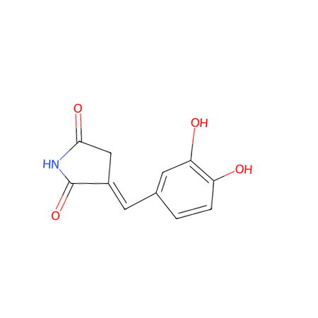 O=C1C/C(=C\c2ccc(O)c(O)c2)C(=O)N1